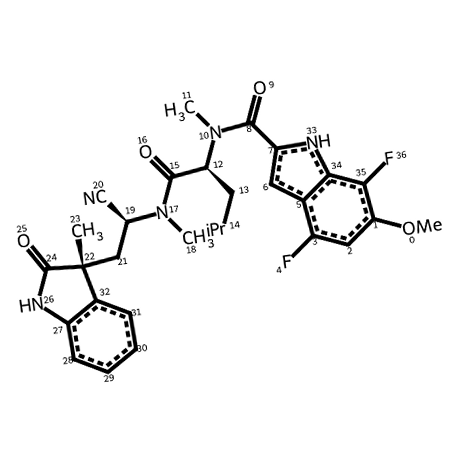 COc1cc(F)c2cc(C(=O)N(C)[C@@H](CC(C)C)C(=O)N(C)[C@H](C#N)C[C@@]3(C)C(=O)Nc4ccccc43)[nH]c2c1F